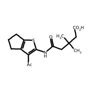 CC(=O)c1c(NC(=O)CC(C)(C)CC(=O)O)sc2c1CCC2